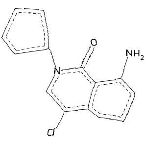 Nc1cccc2c(Cl)cn(-c3ccccc3)c(=O)c12